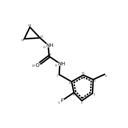 Cc1ccc(F)c(CNC(=O)NC2CC2)c1